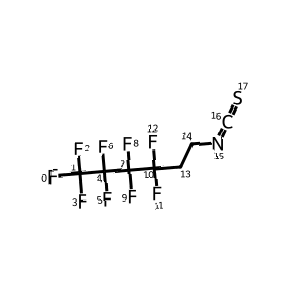 FC(F)(F)C(F)(F)C(F)(F)C(F)(F)CCN=C=S